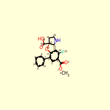 COC(=O)c1cc(-c2ccccc2)c(O[C@@]2(C(=O)O)CCNC2)cc1F